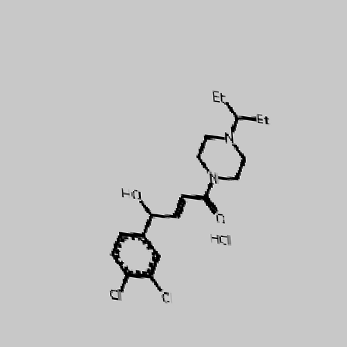 CCC(CC)N1CCN(C(=O)C=CC(O)c2ccc(Cl)c(Cl)c2)CC1.Cl